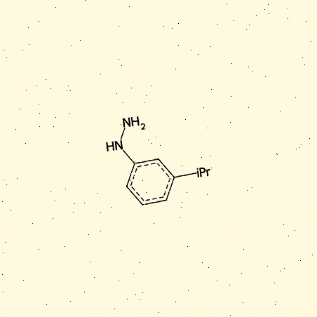 CC(C)c1cccc(NN)c1